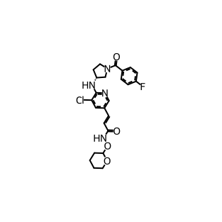 O=C(C=Cc1cnc(N[C@@H]2CCN(C(=O)c3ccc(F)cc3)C2)c(Cl)c1)NOC1CCCCO1